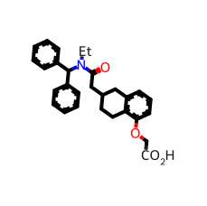 CCN(C(=O)CC1CCc2c(cccc2OCC(=O)O)C1)C(c1ccccc1)c1ccccc1